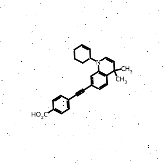 CC1(C)C=CN(C2C=CCCC2)c2cc(C#Cc3ccc(C(=O)O)cc3)ccc21